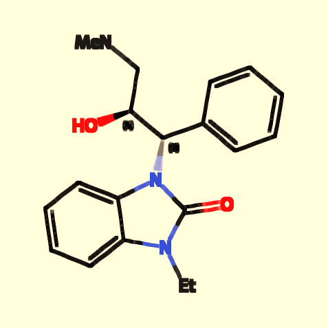 CCn1c(=O)n([C@@H](c2ccccc2)[C@@H](O)CNC)c2ccccc21